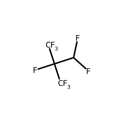 FC(F)C(F)(C(F)(F)F)C(F)(F)F